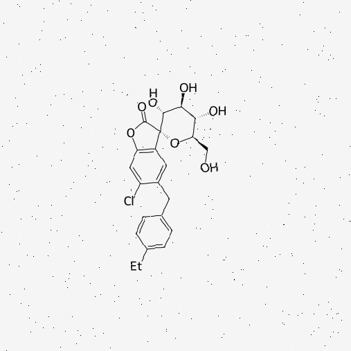 CCc1ccc(Cc2cc3c(cc2Cl)OC(=O)[C@]32O[C@H](CO)[C@@H](O)[C@H](O)[C@H]2O)cc1